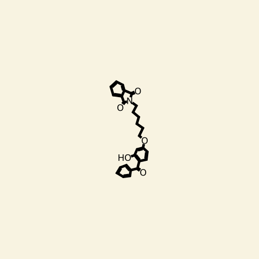 O=C(c1ccccc1)c1ccc(OCCCCCCN2C(=O)c3ccccc3C2=O)cc1O